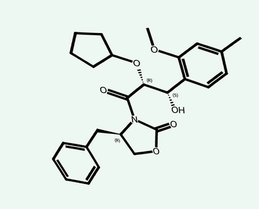 COc1cc(C)ccc1[C@H](O)[C@@H](OC1CCCC1)C(=O)N1C(=O)OC[C@H]1Cc1ccccc1